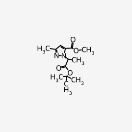 COC(=O)c1cc(C)nn1C(C)C(=O)OC(C)(C)C